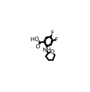 O=C(O)c1cc(F)c(F)cc1NC1CCCCO1